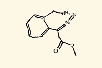 COC(=O)C(=[N+]=[N-])c1ccccc1CN